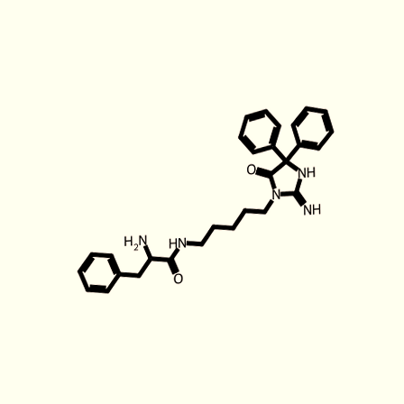 N=C1NC(c2ccccc2)(c2ccccc2)C(=O)N1CCCCCNC(=O)C(N)Cc1ccccc1